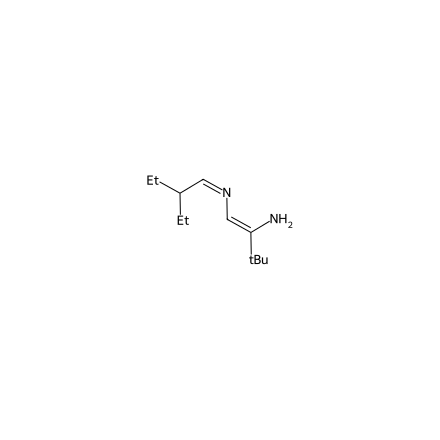 CCC(/C=N\C=C(/N)C(C)(C)C)CC